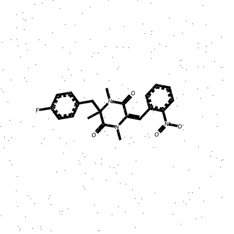 CN1C(=O)C(C)(Cc2ccc(F)cc2)N(C)C(=O)/C1=C\c1ccccc1[N+](=O)[O-]